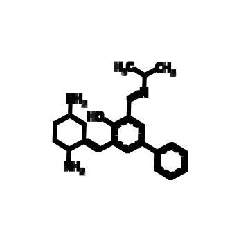 CC(C)N=Cc1cc(-c2ccccc2)cc(C=C2CC(N)CCC2N)c1O